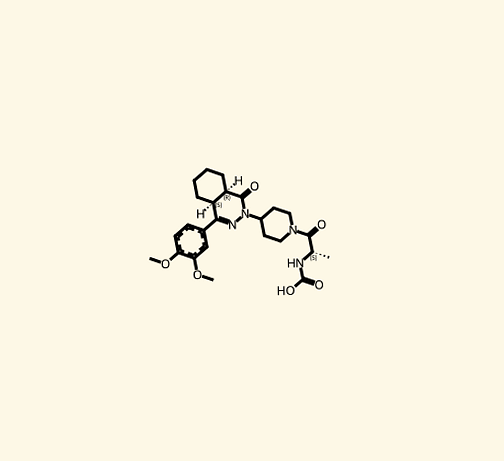 COc1ccc(C2=NN(C3CCN(C(=O)[C@H](C)NC(=O)O)CC3)C(=O)[C@@H]3CCCC[C@H]23)cc1OC